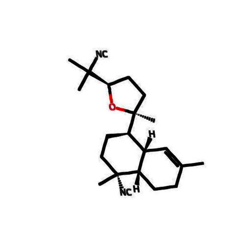 [C-]#[N+]C(C)(C)[C@H]1CC[C@@](C)([C@@H]2CC[C@@](C)([N+]#[C-])[C@H]3CCC(C)=C[C@@H]23)O1